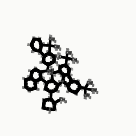 Cc1ccccc1-c1cc(-c2c(Nc3ccc4c(c3)-c3ccccc3C4(C)C)ccc3ccccc23)c2c(c1)-n1c3ccc(C(C)(C)C)cc3c3cc(C(C)(C)C)cc(c31)B2